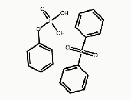 O=P(O)(O)Oc1ccccc1.O=S(=O)(c1ccccc1)c1ccccc1